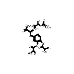 COC(=O)[C@H](Cc1ccc(OC(=O)C(C)C(C)C)c(OC(=O)C(C)C(C)C)c1)NCC(C)OC(=O)OCC(C)C